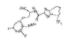 CNc1c(F)cc(F)cc1OC[C@@H](C=O)NC(=O)c1nc2n(n1)C(C(F)(F)F)CCC2